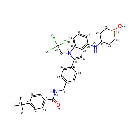 CC(C)(C)c1ccc(C(=O)NCc2ccc(-c3cc4c(NC5CC[S+]([O-])CC5)cccc4n3CC(F)(F)F)cc2)cc1